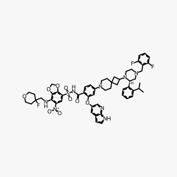 CC(C)c1ccccc1[C@@H]1CN(Cc2c(F)cccc2F)CCN1C1CC2(CCN(c3ccc(C(=O)NS(=O)(=O)c4cc([N+](=O)[O-])c(NCC5(F)CCOCC5)c5c4OCO5)c(Oc4cnc5[nH]ccc5c4)c3)CC2)C1